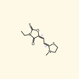 CCN1C(=O)/C(=C\C=C2/SCCN2C)OC1=S